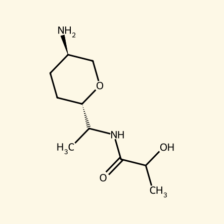 CC(O)C(=O)NC(C)[C@@H]1CC[C@@H](N)CO1